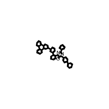 c1ccc(-c2ccc(-c3nc(-c4ccccc4)nc4c3oc3cccc(-c5cccc(-c6ccc7c8ccccc8c8ccccc8c7c6)c5)c34)cc2)cc1